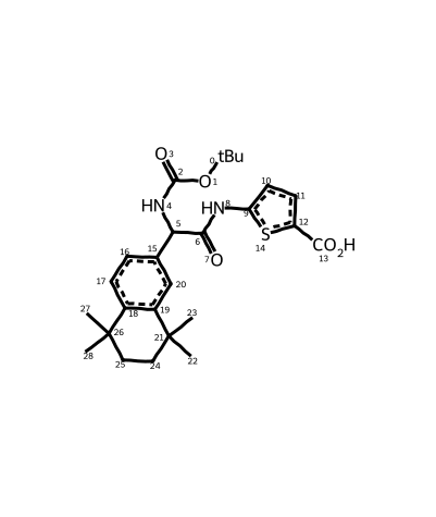 CC(C)(C)OC(=O)NC(C(=O)Nc1ccc(C(=O)O)s1)c1ccc2c(c1)C(C)(C)CCC2(C)C